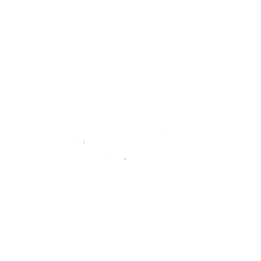 C/C=C/C=C(/O[C]=O)c1ccc(N)cc1